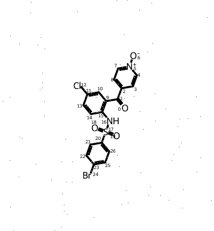 O=C(c1cc[n+]([O-])cc1)c1cc(Cl)ccc1NS(=O)(=O)c1ccc(Br)cc1